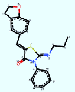 CCC/N=C1\S/C(=C\c2ccc3c(c2)CCO3)C(=O)N1c1ccccc1